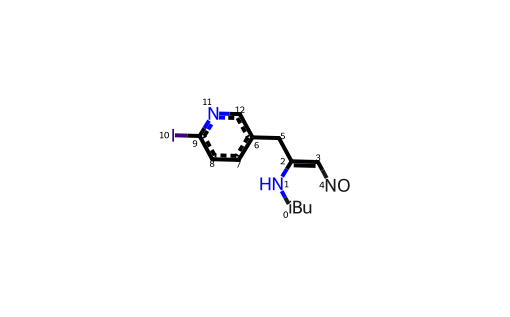 CCC(C)N/C(=C\N=O)Cc1ccc(I)nc1